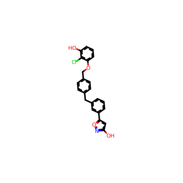 Oc1cc(-c2cccc(Cc3ccc(COc4cc[c]c(O)c4Cl)cc3)c2)on1